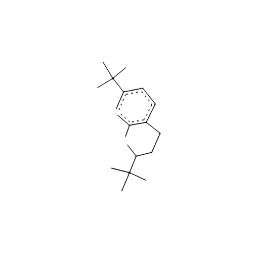 CC(C)(C)c1ccc2c(n1)OC(C(C)(C)C)CC2